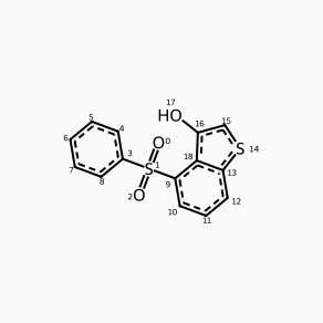 O=S(=O)(c1ccccc1)c1cccc2scc(O)c12